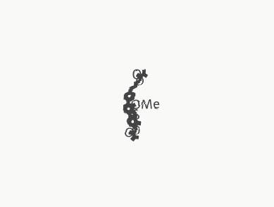 C=C(C)C(=O)OCCCc1ccc(-c2ccc3c(sc4c(C)c(OC(=O)C(=C)C)ccc43)c2OC)cc1